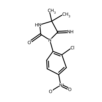 CC1(C)NC(=O)N(c2ccc([N+](=O)[O-])cc2Cl)C1=N